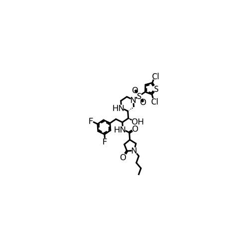 CCCCN1CC(C(=O)NC(Cc2cc(F)cc(F)c2)[C@H](O)[C@H]2CN(S(=O)(=O)c3cc(Cl)sc3Cl)CCN2)CC1=O